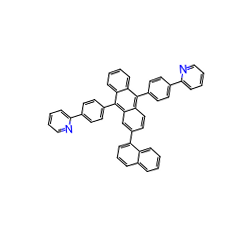 c1ccc(-c2ccc(-c3c4ccccc4c(-c4ccc(-c5ccccn5)cc4)c4cc(-c5cccc6ccccc56)ccc34)cc2)nc1